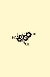 CO[C@H]1CC2C=C(O)CC[C@]2(C)[C@H]2CC[C@]3(C)[C@@H](O)C=C[C@H]3[C@H]12